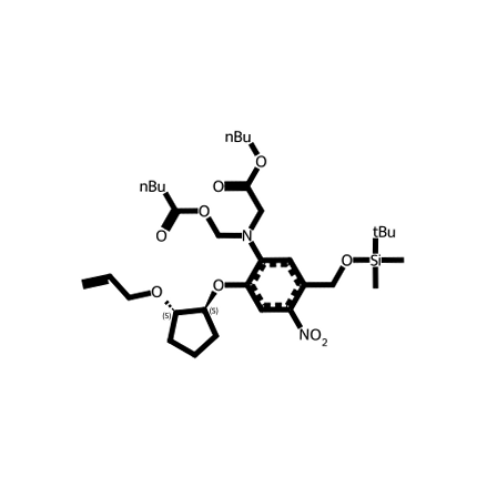 C=CCO[C@H]1CCC[C@@H]1Oc1cc([N+](=O)[O-])c(CO[Si](C)(C)C(C)(C)C)cc1N(COC(=O)CCCC)CC(=O)OCCCC